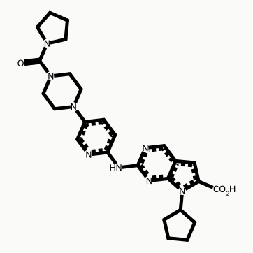 O=C(O)c1cc2cnc(Nc3ccc(N4CCN(C(=O)N5CCCC5)CC4)cn3)nc2n1C1CCCC1